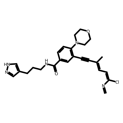 C=N/C(Cl)=C\C=C(/C)C#Cc1cc(C(=O)NCCCc2cn[nH]c2)ccc1N1CCOCC1